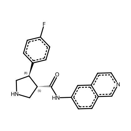 O=C(Nc1ccc2cnccc2c1)[C@@H]1CNC[C@H]1c1ccc(F)cc1